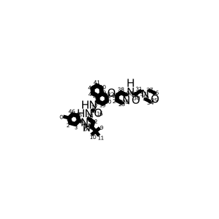 Cc1ccc(-n2nc(C(C)(C)C)cc2NC(=O)Nc2ccc(Oc3ccnc(NC(=O)CN4CCOCC4)c3)c3ccccc23)cc1